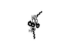 CCCCCCNC(=O)Oc1cc(Oc2ccccc2)c(OC(=O)NCCCCCC)c2ccccc12